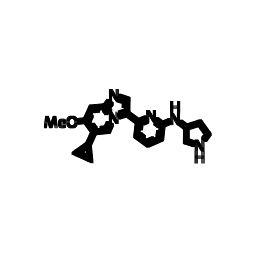 COc1cc2ncc(-c3cccc(NC4CCNC4)n3)n2cc1C1CC1